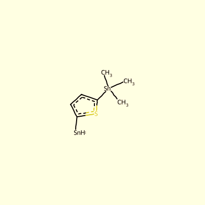 [CH3][Sn]([CH3])([CH3])[c]1cc[c]([SnH])s1